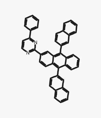 c1ccc(-c2ccnc(-c3ccc4c(-c5ccc6ccccc6c5)c5ccccc5c(-c5ccc6ccccc6c5)c4c3)n2)cc1